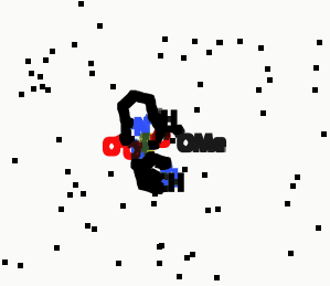 C#CCN1C[C@H](COC)[C@@H]2CCCC(C1=O)N2S(=O)(=O)c1cccnc1